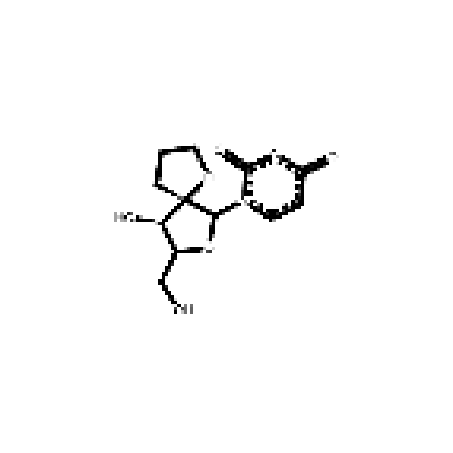 O=c1ccn(C2OC(CO)[C@@H](O)[C@@]23CCCO3)c(=O)[nH]1